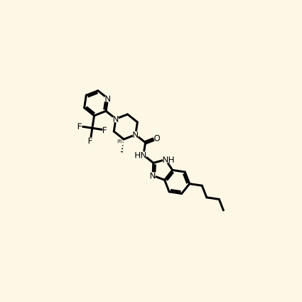 CCCCc1ccc2nc(NC(=O)N3CCN(c4ncccc4C(F)(F)F)C[C@H]3C)[nH]c2c1